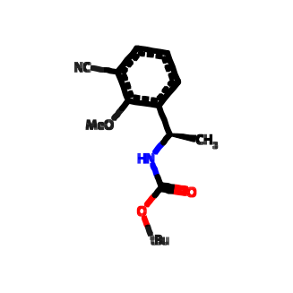 COc1c(C#N)cccc1[C@@H](C)NC(=O)OC(C)(C)C